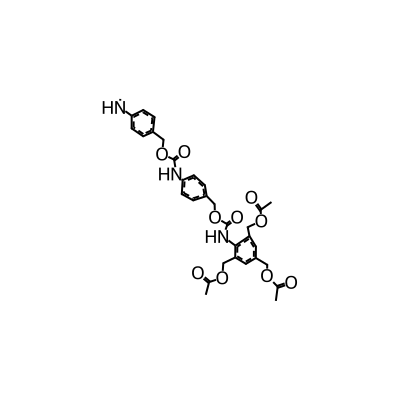 CNc1ccc(COC(=O)Nc2ccc(COC(=O)Nc3c(COC(C)=O)cc(COC(C)=O)cc3COC(C)=O)cc2)cc1